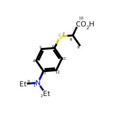 CCN(CC)c1ccc(SC(C)C(=O)O)cc1